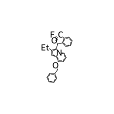 CCc1cc2c(OCc3ccccc3)cccn2c1C(=O)c1ccccc1C(F)(F)F